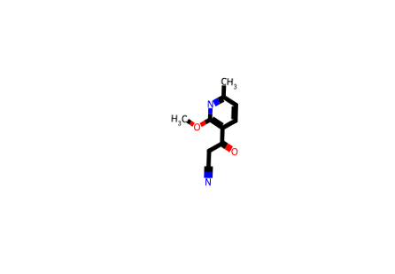 COc1nc(C)ccc1C(=O)CC#N